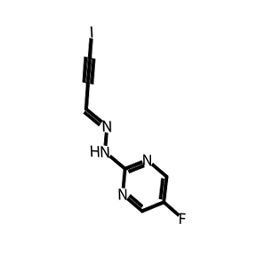 Fc1cnc(N/N=C/C#CI)nc1